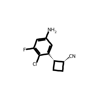 N#C[C@@H]1CC[C@@H]1c1cc(N)cc(F)c1Cl